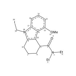 CCN(CC)C(=O)C1CCCc2c1c1c(OC)cccc1n2CI